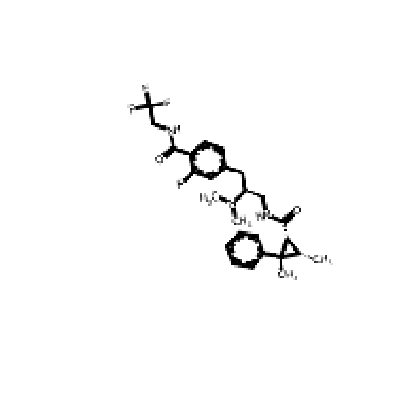 C[C@H]1[C@@H](C(=O)NC[C@H](Cc2ccc(C(=O)NCC(F)(F)F)c(F)c2)N(C)C)[C@@]1(C)c1ccccc1